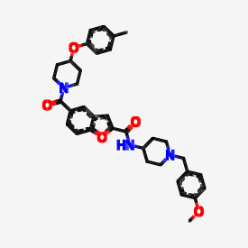 COc1ccc(CN2CCC(NC(=O)c3cc4cc(C(=O)N5CCC(Oc6ccc(C)cc6)CC5)ccc4o3)CC2)cc1